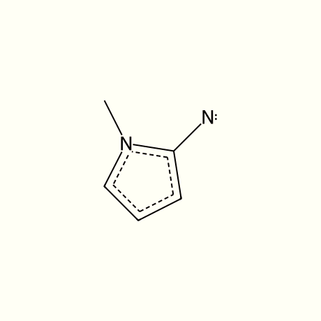 Cn1cccc1[N]